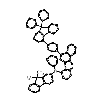 CC1(C)c2ccccc2-c2ccc(N(c3ccccc3)c3cccc4oc5c6ccccc6c(-c6ccc(-c7cccc8c7-c7ccccc7C8(c7ccccc7)c7ccccc7)cc6)cc5c34)cc21